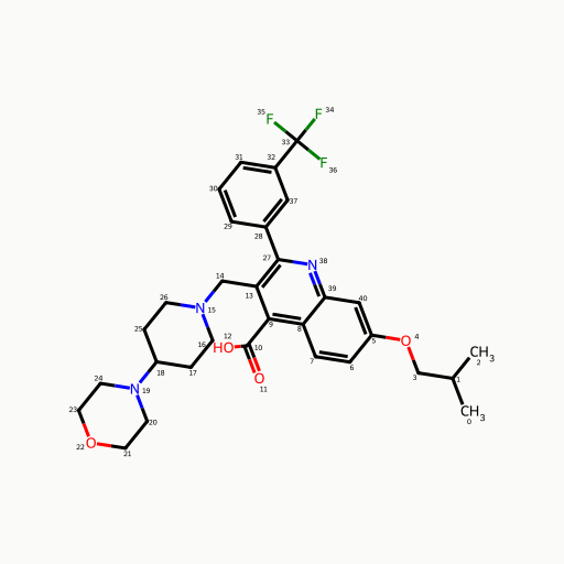 CC(C)COc1ccc2c(C(=O)O)c(CN3CCC(N4CCOCC4)CC3)c(-c3cccc(C(F)(F)F)c3)nc2c1